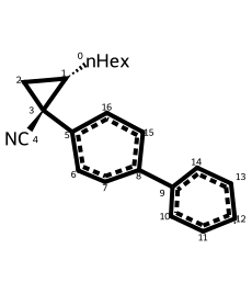 CCCCCC[C@H]1C[C@@]1(C#N)c1ccc(-c2cc[c]cc2)cc1